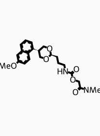 CNC(=O)COC(=O)NCCC[C@H]1OC[C@H](c2cccc3cc(OC)ccc32)CO1